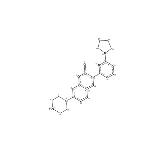 O=c1oc2cc(N3CCNCC3)ccc2cc1-c1cccc(N2CCCC2)n1